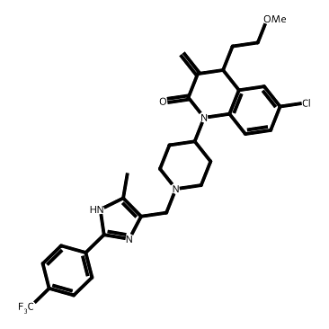 C=C1C(=O)N(C2CCN(Cc3nc(-c4ccc(C(F)(F)F)cc4)[nH]c3C)CC2)c2ccc(Cl)cc2C1CCOC